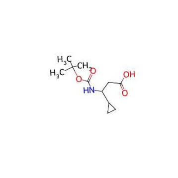 CC(C)(C)OC(=O)NC(CC(=O)O)C1CC1